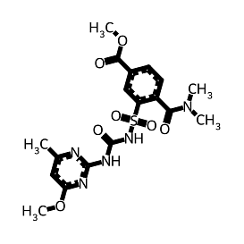 COC(=O)c1ccc(C(=O)N(C)C)c(S(=O)(=O)NC(=O)Nc2nc(C)cc(OC)n2)c1